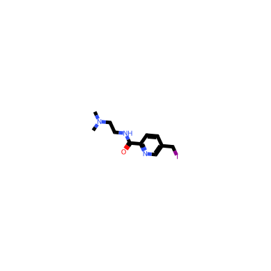 CN(C)CCNC(=O)c1ccc(CI)cn1